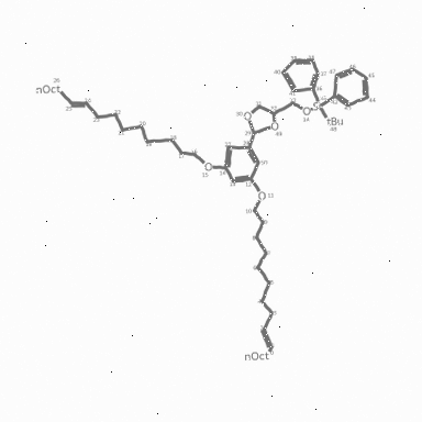 CCCCCCCCC=CCCCCCCCCOc1cc(OCCCCCCCCC=CCCCCCCCC)cc(C2OCC(CO[Si](c3ccccc3)(c3ccccc3)C(C)(C)C)O2)c1